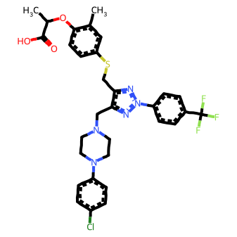 Cc1cc(SCc2nn(-c3ccc(C(F)(F)F)cc3)nc2CN2CCN(c3ccc(Cl)cc3)CC2)ccc1OC(C)C(=O)O